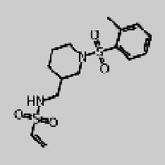 C=CS(=O)(=O)NCC1CCCN(S(=O)(=O)c2ccccc2C)C1